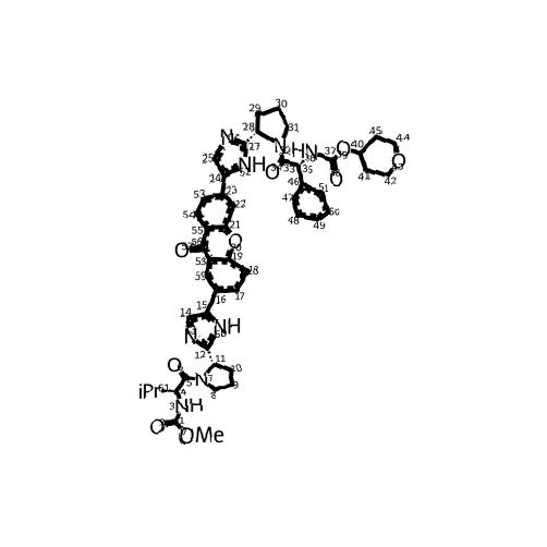 COC(=O)N[C@H](C(=O)N1CCC[C@H]1c1ncc(-c2ccc3oc4cc(-c5cnc([C@@H]6CCCN6C(=O)[C@H](NC(=O)OC6CCOCC6)c6ccccc6)[nH]5)ccc4c(=O)c3c2)[nH]1)C(C)C